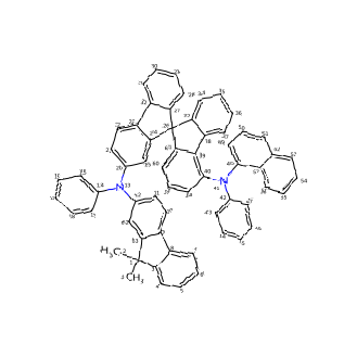 CC1(C)c2ccccc2-c2ccc(N(c3ccccc3)c3ccc4c(c3)C3(c5ccccc5-4)c4ccccc4-c4c(N(c5ccccc5)c5cccc6ccccc56)cccc43)cc21